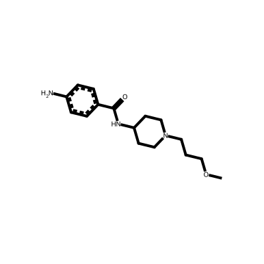 COCCCN1CCC(NC(=O)c2ccc(N)cc2)CC1